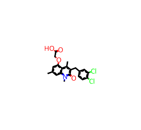 Cc1cc(OCC(=O)O)c2c(C)c(Cc3ccc(Cl)c(Cl)c3)c(=O)n(C)c2c1